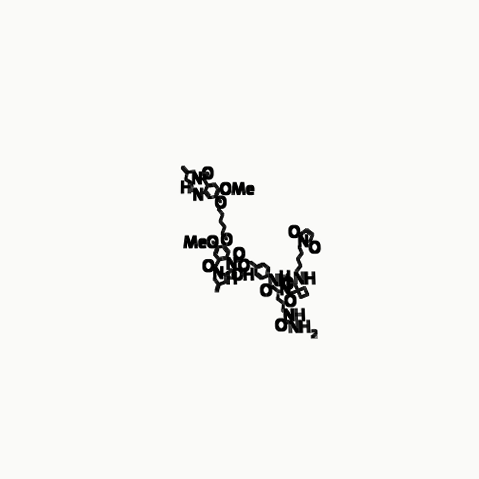 C=C1C[C@H]2C=Nc3cc(OCCCCCOc4cc5c(cc4OC)C(=O)N4CC(=C)C[C@H]4[C@H](O)N5C(=O)OCc4ccc(NC(=O)[C@H](CCCNC(N)=O)NC(=O)C5(C(=O)NCCCCCN6C(=O)C=CC6=O)CCC5)cc4)c(OC)cc3C(=O)N2C1